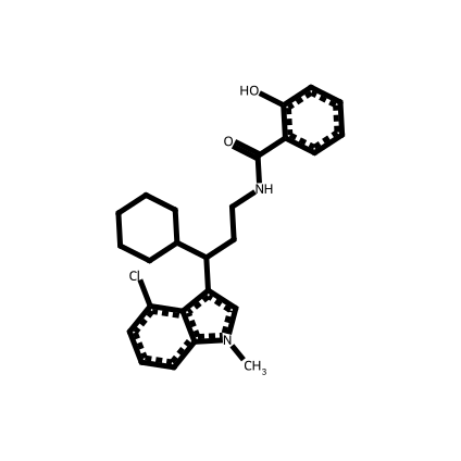 Cn1cc(C(CCNC(=O)c2ccccc2O)C2CCCCC2)c2c(Cl)cccc21